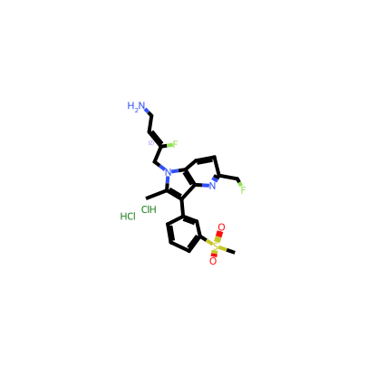 Cc1c(-c2cccc(S(C)(=O)=O)c2)c2nc(CF)ccc2n1C/C(F)=C/CN.Cl.Cl